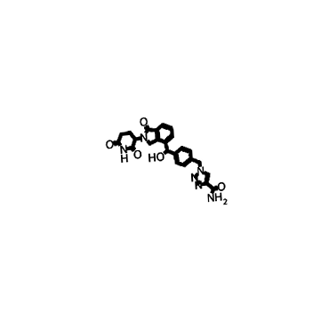 NC(=O)c1cn(Cc2ccc(C(O)c3cccc4c3CN(C3CCC(=O)NC3=O)C4=O)cc2)nn1